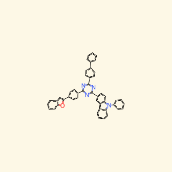 c1ccc(-c2ccc(-c3nc(-c4ccc(-c5cc6ccccc6o5)cc4)nc(-c4ccc5c(c4)c4ccccc4n5-c4ccccc4)n3)cc2)cc1